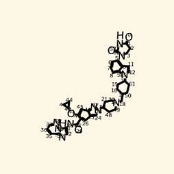 O=C1CCN(c2cccc3c2ccn3C2CCC(CN3CCC(n4cc5cc(C(=O)Nc6cnc7cccnn67)c(OC6CC6)cc5n4)CC3)CC2)C(=O)N1